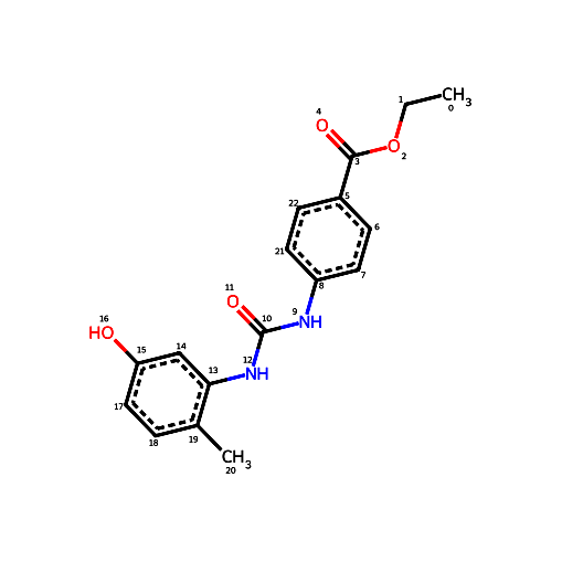 CCOC(=O)c1ccc(NC(=O)Nc2cc(O)ccc2C)cc1